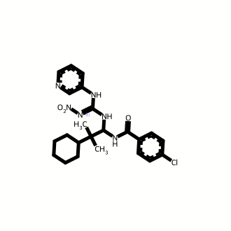 CC(C)(C1CCCCC1)C(NC(=O)c1ccc(Cl)cc1)N/C(=N/[N+](=O)[O-])Nc1cccnc1